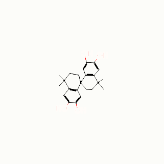 CC1(C)CCC2(CCC(C)(C)c3cc(O)c(O)cc32)c2cc(O)c(O)cc21